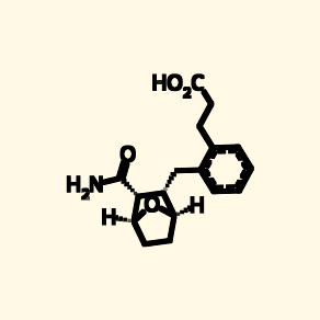 NC(=O)[C@@H]1[C@H](Cc2ccccc2CCC(=O)O)[C@H]2CC[C@@H]1O2